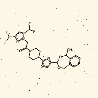 CC1OC(c2csc(C3CCN(C(=O)Cn4nc(C(F)F)cc4C(F)F)CC3)n2)OCc2ccccc21